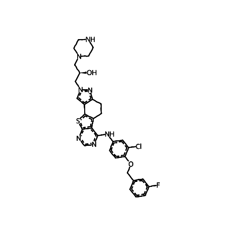 O[C@H](CN1CCNCC1)Cn1cc2c(n1)CCc1c-2sc2ncnc(Nc3ccc(OCc4cccc(F)c4)c(Cl)c3)c12